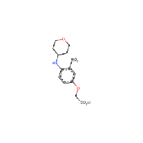 CCOC(=O)COc1ccc(NC2CCOCC2)c([N+](=O)[O-])c1